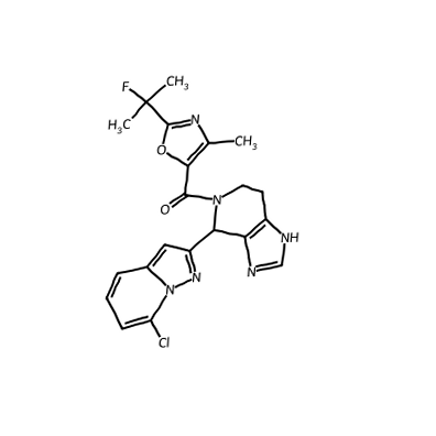 Cc1nc(C(C)(C)F)oc1C(=O)N1CCc2[nH]cnc2C1c1cc2cccc(Cl)n2n1